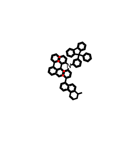 CC1CC=Cc2c1ccc1c(-c3ccc(N(c4cccc(C5(c6ccccc6)c6ccccc6-c6ccccc65)c4)c4ccccc4-c4cccc5cccc(-c6ccccc6)c45)cc3)cccc21